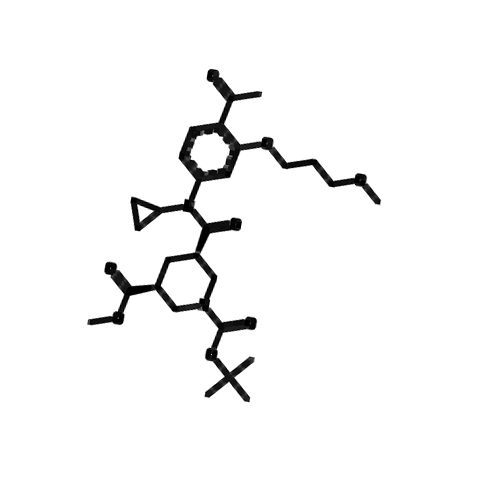 COCCCOc1cc(N(C(=O)[C@@H]2C[C@H](C(=O)OC)CN(C(=O)OC(C)(C)C)C2)C2CC2)ccc1C(C)=O